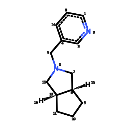 c1cncc(CN2C[C@H]3CCC[C@H]3C2)c1